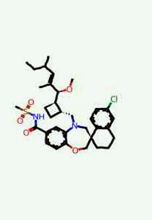 CCC(C)/C=C(\C)[C@@H](OC)[C@@H]1CC[C@H]1CN1C[C@@]2(CCCc3cc(Cl)ccc32)COc2ccc(C(=O)NS(C)(=O)=O)cc21